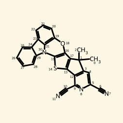 CC1(C)c2cc(C#N)nc(C#N)c2-c2sc3c(c21)Oc1cccc2c4ccccc4n-3c12